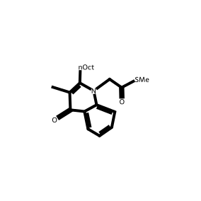 CCCCCCCCc1c(C)c(=O)c2ccccc2n1CC(=O)SC